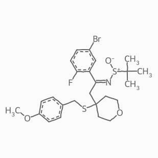 COc1ccc(CSC2(CC(=N[S+]([O-])C(C)(C)C)c3cc(Br)ccc3F)CCOCC2)cc1